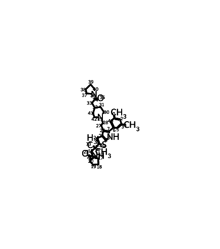 Cc1cc(C)cc(-c2[nH]c3sc(C(C)(C)CC4C5CCC4C(=O)N5)cc3c2CCN2CCC(CC(=O)N3CCCC3)CC2)c1